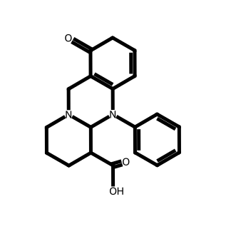 O=C1CC=CC2=C1CN1CCCC(C(=O)O)C1N2c1ccccc1